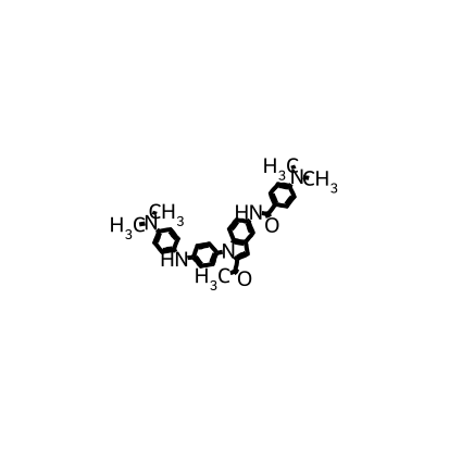 CC(=O)c1cc2cc(NC(=O)c3ccc(N(C)C)cc3)ccc2n1-c1ccc(Nc2ccc(N(C)C)cc2)cc1